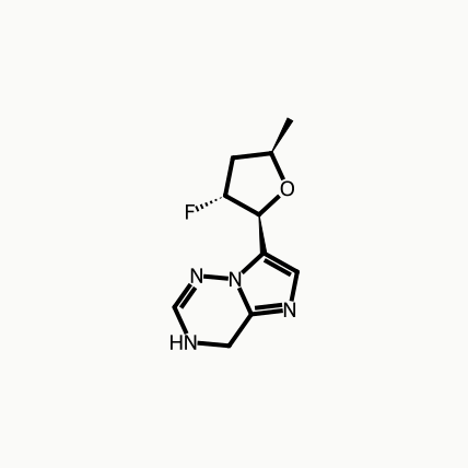 C[C@@H]1C[C@@H](F)[C@H](c2cnc3n2N=CNC3)O1